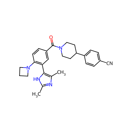 Cc1nc(C)c(-c2cc(C(=O)N3CCC(c4ccc(C#N)cc4)CC3)ccc2N2CCC2)[nH]1